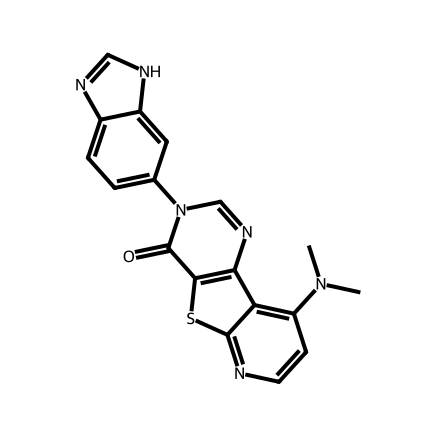 CN(C)c1ccnc2sc3c(=O)n(-c4ccc5nc[nH]c5c4)cnc3c12